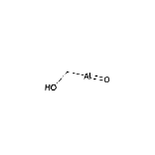 [O]=[Al][CH2]O